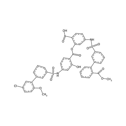 COC(=O)c1ccccc1-c1cccc(S(=O)(=O)Nc2ccc(C(=O)O)c(OC(=O)c3ccc(NS(=O)(=O)c4cccc(-c5cc(Cl)ccc5OC)c4)cc3O)c2)c1